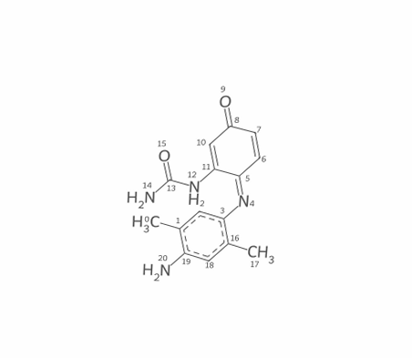 Cc1cc(N=C2C=CC(=O)C=C2NC(N)=O)c(C)cc1N